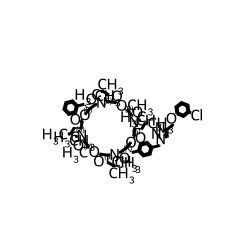 CC(C)C[C@H]1C(=O)O[C@H](Cc2ccc(Cn3cc(COc4cccc(Cl)c4)nn3)cc2)C(=O)N(C)[C@@H](CC(C)C)C(=O)O[C@H](C)C(=O)N(C)[C@@H](CC(C)C)C(=O)O[C@H](Cc2ccccc2)C(=O)N(C)[C@@H](CC(C)C)C(=O)O[C@H](C)C(=O)N1C